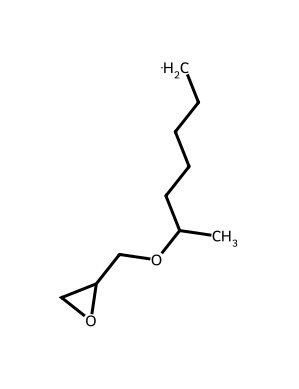 [CH2]CCCCC(C)OCC1CO1